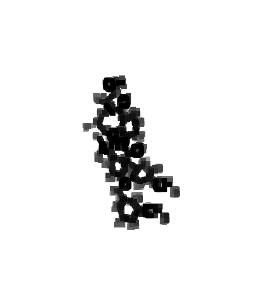 CC(CO)N1C[C@@H](C)[C@@H](CN(C)Cc2ccc(OCc3cccc(C(F)(F)F)c3)cc2)Oc2c(NC(=O)Cc3ccc(C(F)(F)F)cc3)cccc2C1=O